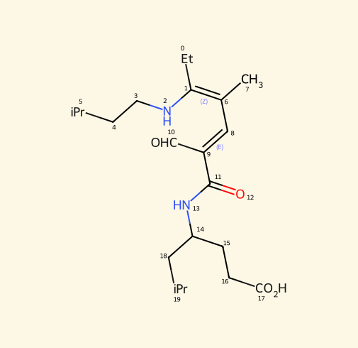 CC/C(NCCC(C)C)=C(C)/C=C(\C=O)C(=O)NC(CCC(=O)O)CC(C)C